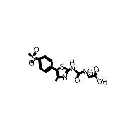 Cc1nc(NC(=O)NCC(=O)O)sc1-c1ccc(S(C)(=O)=O)cc1